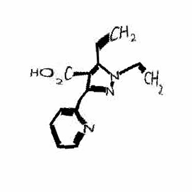 C=Cc1c(C(=O)O)c(-c2ccccn2)nn1C=C